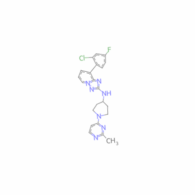 Cc1nccc(N2CCC(Nc3nc4c(-c5ccc(F)cc5Cl)cccn4n3)CC2)n1